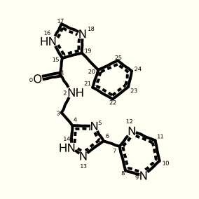 O=C(NCc1nc(-c2cnccn2)n[nH]1)c1[nH]cnc1-c1ccccc1